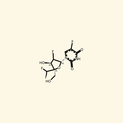 O=c1[nH]c(=O)n([C@@H]2O[C@@](CO)(C(F)F)[C@@H](O)C2F)cc1F